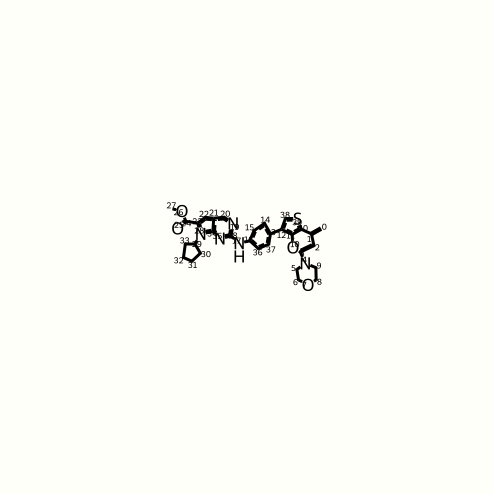 C=C1C=C(N2CCOCC2)Oc2c(-c3ccc(Nc4ncc5cc(C(=O)OC)n(C6CCCC6)c5n4)cc3)csc21